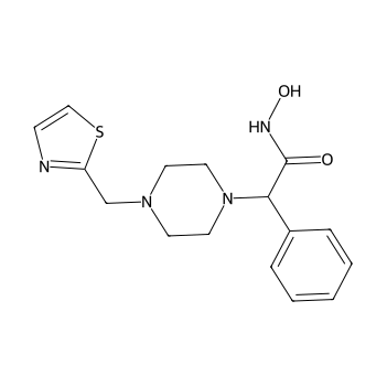 O=C(NO)C(c1ccccc1)N1CCN(Cc2nccs2)CC1